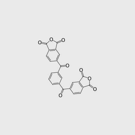 O=C(c1cccc(C(=O)c2ccc3c(c2)C(=O)OC3=O)c1)c1ccc2c(c1)C(=O)OC2=O